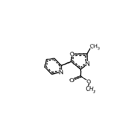 COC(=O)c1nc(C)oc1-c1ccccn1